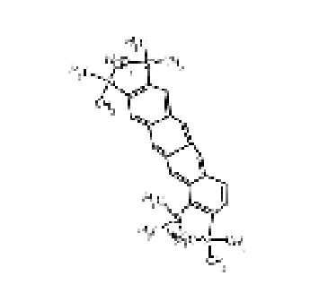 C[Si](C)(C)c1cc2cc3cc4ccc([Si](C)(C)C)c([Si](C)(C)C)c4cc3cc2cc1[Si](C)(C)C